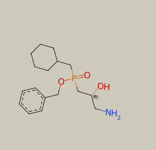 NC[C@@H](O)CP(=O)(CC1CCCCC1)OCc1ccccc1